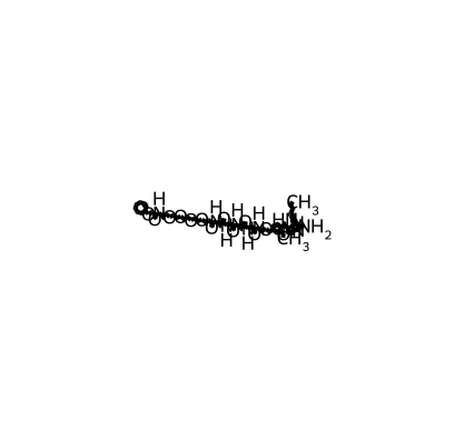 CCCCCNc1nc(N)nc2ccn(Cc3ccc(COCNC(=O)CNC(=O)CNC(=O)CNC(=O)CNC(=O)CCOCCOCCOCCOCCNC(=O)COC4C#CCCCCC4)cc3OC)c12